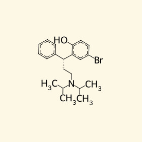 CC(C)N(CC[C@H](c1ccccc1)c1cc(Br)ccc1O)C(C)C